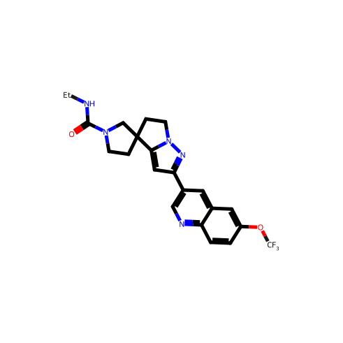 CCNC(=O)N1CCC2(CCn3nc(-c4cnc5ccc(OC(F)(F)F)cc5c4)cc32)C1